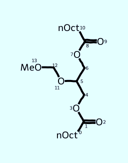 CCCCCCCCC(=O)OCC(COC(=O)CCCCCCCC)OCOC